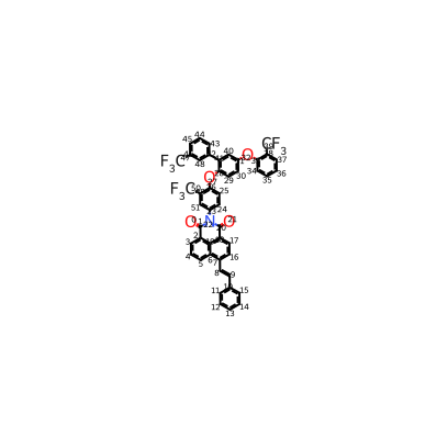 O=C1c2cccc3c(C=Cc4ccccc4)ccc(c23)C(=O)N1c1ccc(Oc2ccc(Oc3ccccc3C(F)(F)F)cc2-c2cccc(C(F)(F)F)c2)c(C(F)(F)F)c1